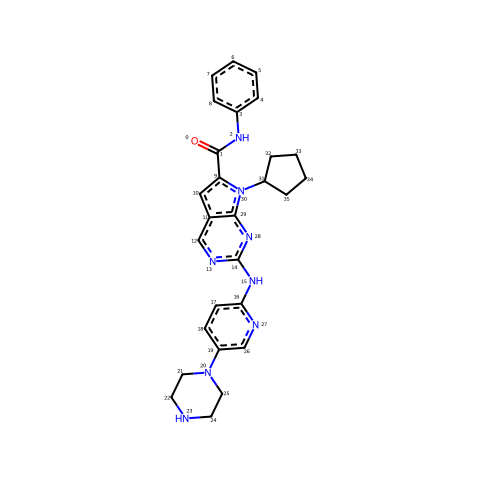 O=C(Nc1ccccc1)c1cc2cnc(Nc3ccc(N4CCNCC4)cn3)nc2n1C1CCCC1